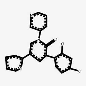 O=c1c(-c2ccc(Cl)cc2Cl)cc(-c2ccccn2)cn1-c1cccnc1